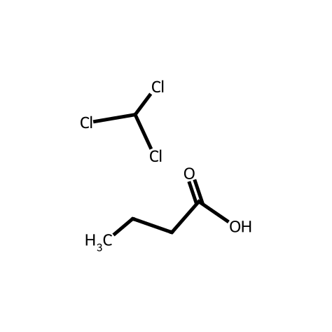 CCCC(=O)O.ClC(Cl)Cl